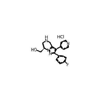 Cl.OC[C@H]1CNCc2c(-c3ccncc3)c(-c3ccc(F)cc3)nn21